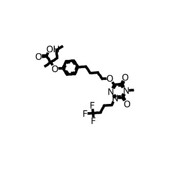 CCCC(C)(Oc1ccc(CCCCOc2nn(CCCC(F)(F)F)c(=O)n(C)c2=O)cc1)C(=O)O